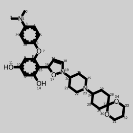 CN(C)c1ccc(Oc2cc(O)cc(O)c2C2C=CN(C3CCN(C4CCC5(CC4)OCCCO5)CC3)O2)cc1